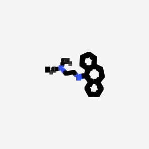 CN(C)CCN=c1c2ccccc2ccc2ccccc12